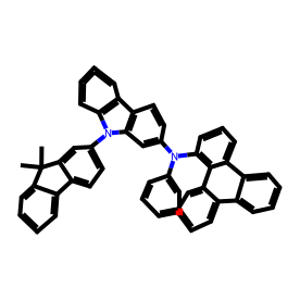 CC1(C)c2ccccc2-c2ccc(-n3c4c(c5ccc(N(c6ccccc6)c6cccc7c8ccccc8c8ccccc8c67)cc53)C=C=C=C4)cc21